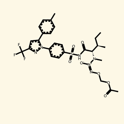 CC[C@@H](C)[C@@H](C(=O)NS(=O)(=O)c1ccc(-n2nc(C(F)(F)F)cc2-c2ccc(C)cc2)cc1)N(C)/[N+]([O-])=N\OCOC(C)=O